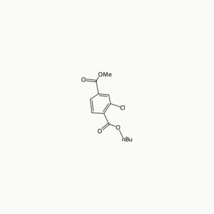 CCCCOC(=O)c1ccc(C(=O)OC)cc1Cl